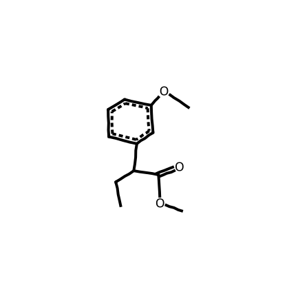 CCC(C(=O)OC)c1cccc(OC)c1